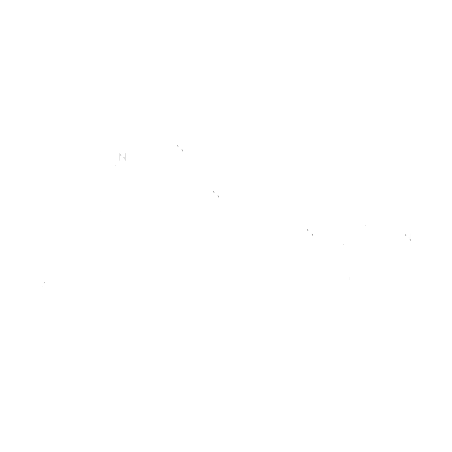 C=C(C#N)C(=O)Nc1cccc(Oc2ncnc(N)c2-c2ccc(C(C)=O)cc2)c1